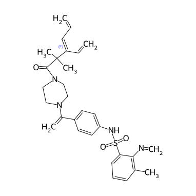 C=C/C=C(\C=C)C(C)(C)C(=O)N1CCN(C(=C)c2ccc(NS(=O)(=O)c3cccc(C)c3N=C)cc2)CC1